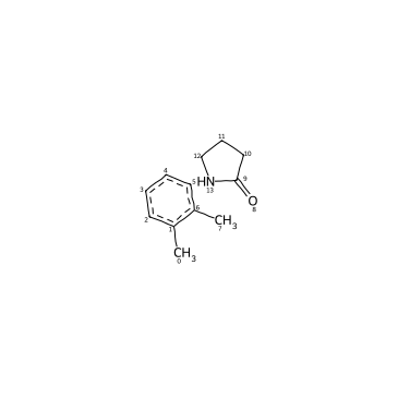 Cc1ccccc1C.O=C1CCCN1